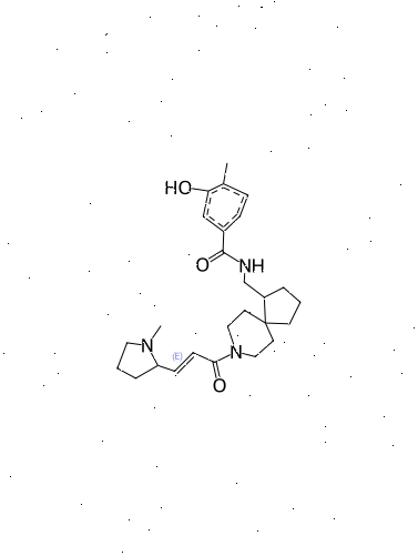 Cc1ccc(C(=O)NCC2CCCC23CCN(C(=O)/C=C/C2CCCN2C)CC3)cc1O